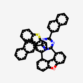 c1ccc2cc(-c3nc(-c4ccc5ccccc5c4)nc(-c4cccc5oc6cccc(-c7ccc8sc9ccccc9c8c7)c6c45)n3)ccc2c1